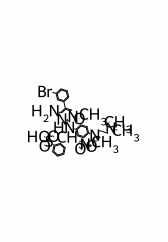 COc1cc(N(C)CCN(C)C)c([N+](=O)[O-])cc1Nc1ncc(-c2cccc(Br)c2)c(N)n1.Cc1ccccc1S(=O)(=O)O